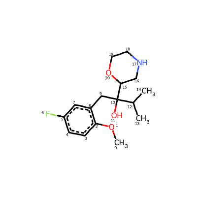 COc1ccc(F)cc1CC(O)(C(C)C)C1CNCCO1